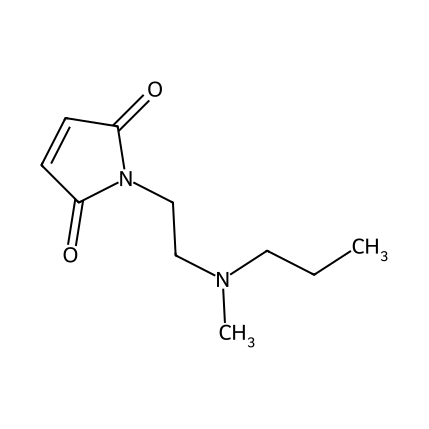 CCCN(C)CCN1C(=O)C=CC1=O